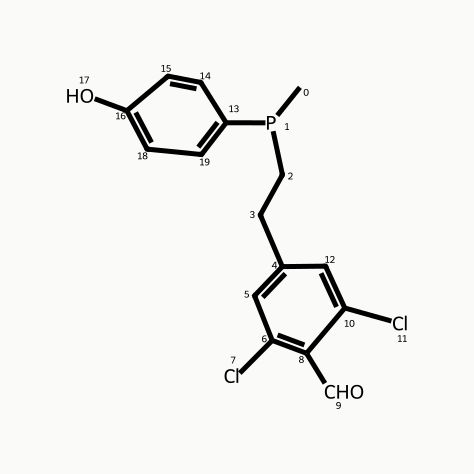 CP(CCc1cc(Cl)c(C=O)c(Cl)c1)c1ccc(O)cc1